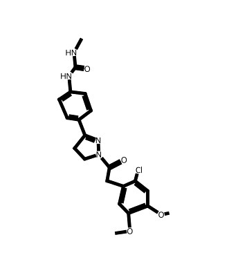 CNC(=O)Nc1ccc(C2=NN(C(=O)Cc3cc(OC)c(OC)cc3Cl)CC2)cc1